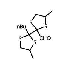 CCCCC1(C2(C=O)SCC(C)S2)SCC(C)S1